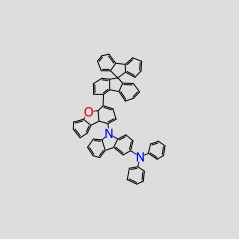 C1=C(c2cccc3c2-c2ccccc2C32c3ccccc3-c3ccccc32)C2Oc3ccccc3C2C(n2c3ccccc3c3cc(N(c4ccccc4)c4ccccc4)ccc32)=C1